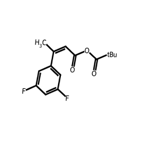 C/C(=C/C(=O)OC(=O)C(C)(C)C)c1cc(F)cc(F)c1